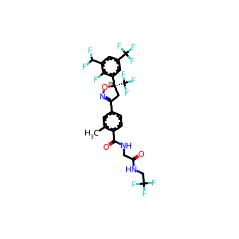 Cc1cc(C2=NO[C@](c3cc(C(F)(F)F)cc(C(F)F)c3F)(C(F)(F)F)C2)ccc1C(=O)NCC(=O)NCC(F)(F)F